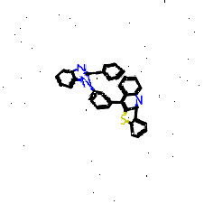 c1ccc(-c2nc3ccccc3n2-c2cccc(-c3c4ccccc4nc4c3sc3ccccc34)c2)cc1